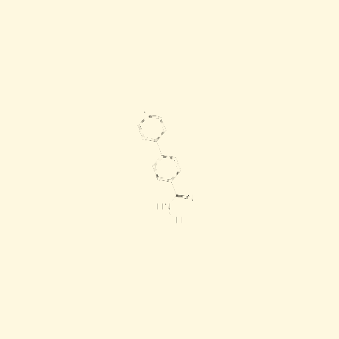 CNC(=N)c1ccc(-c2ccncc2)cc1